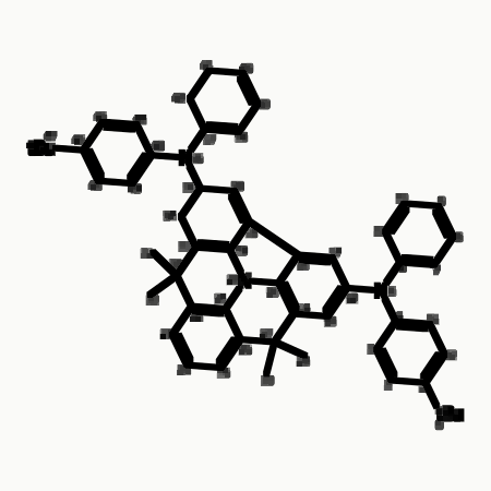 CC(C)(C)c1ccc(N(c2ccccc2)c2cc3c4c(c2)c2c5n4-c4c(cccc4C3(C)C)C(C)(C)C=5CC(N(C3=CC=CCC3)c3ccc(C(C)(C)C)cc3)C=2)cc1